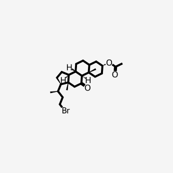 CC(=O)O[C@@H]1CC[C@@]2(C)C(CC[C@H]3[C@@H]4CC[C@H]([C@H](C)CCBr)[C@@]4(C)CC(=O)[C@@H]32)C1